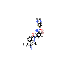 CC(C)(C#N)c1cccc(C(=O)Nc2ccc(Br)c(NC(=O)c3cc4nccnc4s3)c2)c1